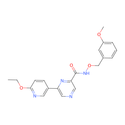 CCOc1ccc(-c2cncc(C(=O)NOCc3cccc(OC)c3)n2)cn1